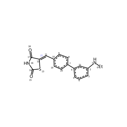 CCNc1cccc(-c2ccc(/C=C3\SC(=O)NC3=O)cc2)c1